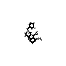 CNC(=O)c1c(N)cccc1C1(O)CCN(Cc2ccccc2)CC1